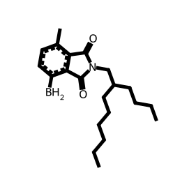 Bc1ccc(C)c2c1C(=O)N(CC(CCCC)CCCCCC)C2=O